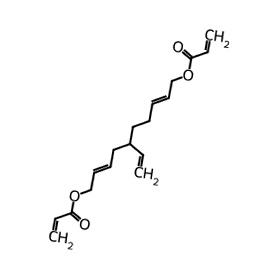 C=CC(=O)OCC=CCCC(C=C)CC=CCOC(=O)C=C